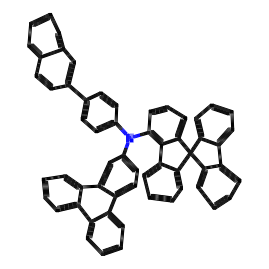 c1ccc2c(c1)-c1ccccc1C21c2ccccc2-c2c(N(c3ccc(-c4ccc5ccccc5c4)cc3)c3ccc4c5ccccc5c5ccccc5c4c3)cccc21